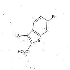 Cc1c(C(=O)O)sc2cc(Br)ccc12